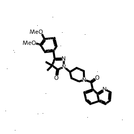 COc1ccc(C2=NN(C3CCN(C(=O)c4cccc5cccnc45)CC3)C(=O)C2(C)C)cc1OC